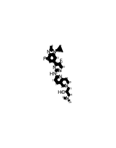 Cc1nc2c(F)cc(-c3nc(Nc4ccc5c(n4)CCN(C[C@@H](O)CN(C)C)C5)ncc3F)cc2n1C1CC1